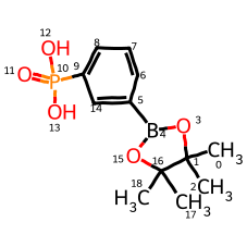 CC1(C)OB(c2cccc(P(=O)(O)O)c2)OC1(C)C